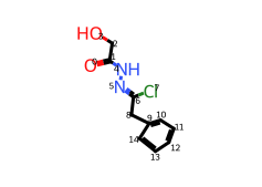 O=C(CO)NN=C(Cl)Cc1ccccc1